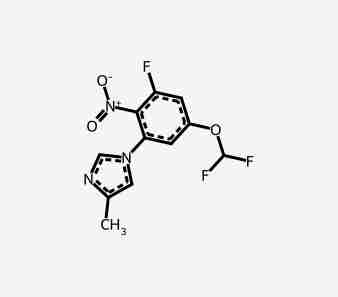 Cc1cn(-c2cc(OC(F)F)cc(F)c2[N+](=O)[O-])cn1